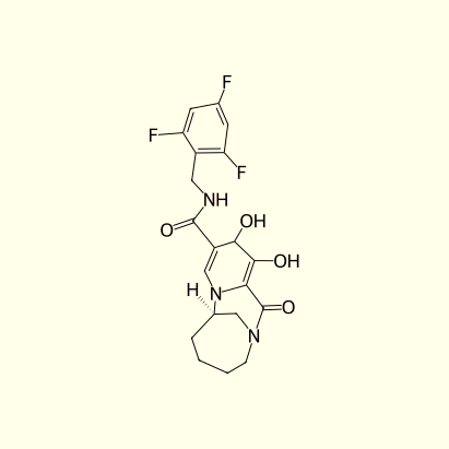 O=C(NCc1c(F)cc(F)cc1F)C1=CN2C(=C(O)C1O)C(=O)N1CCCC[C@@H]2C1